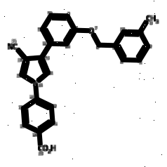 Cc1cccc(COc2cccc(-c3cn(-c4ccc(C(=O)O)cc4)cc3C#N)c2)c1